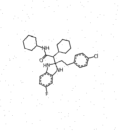 O=C(NC1CCCCC1)C(C1CCCCC1)C1(CCc2ccc(Cl)cc2)Nc2ccc(F)cc2N1